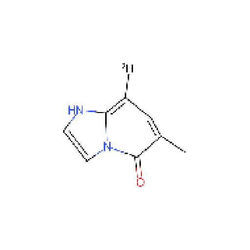 [2H]c1cc(C)c(=O)n2cc[nH]c12